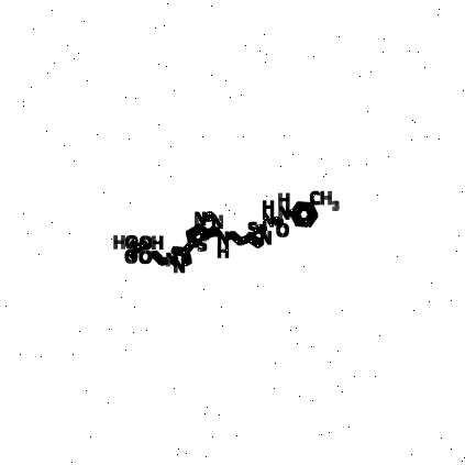 Cc1cccc(NC(=O)Nc2ncc(CCNc3ncnc4cc(-c5cnn(CCOP(=O)(O)O)c5)sc34)s2)c1